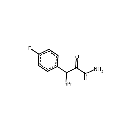 CCCC(C(=O)NN)c1ccc(F)cc1